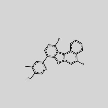 Cc1cc(-c2ccc(F)c3c2oc2cc(F)c4ccccc4c23)ncc1C(C)C